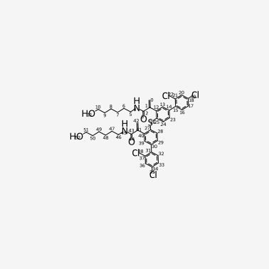 C=C(C(=O)NCCCCCCO)c1cc(-c2ccc(Cl)cc2Cl)ccc1Sc1ccc(-c2ccc(Cl)cc2Cl)cc1C(=C)C(=O)NCCCCCCO